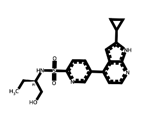 CC[C@H](CO)NS(=O)(=O)c1ccc(-c2ccnc3[nH]c(C4CC4)cc23)cn1